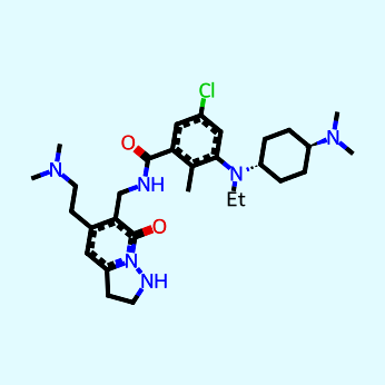 CCN(c1cc(Cl)cc(C(=O)NCc2c(CCN(C)C)cc3n(c2=O)NCC3)c1C)[C@H]1CC[C@H](N(C)C)CC1